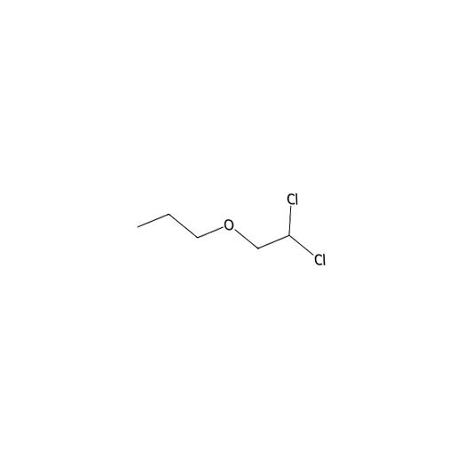 CCCOCC(Cl)Cl